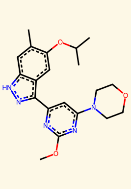 COc1nc(-c2n[nH]c3cc(C)c(OC(C)C)cc23)cc(N2CCOCC2)n1